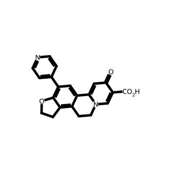 O=C(O)c1cn2c(cc1=O)-c1cc(-c3ccncc3)c3c(c1CC2)CCO3